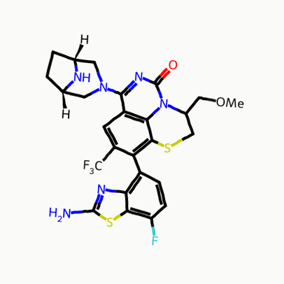 COCC1CSc2c(-c3ccc(F)c4sc(N)nc34)c(C(F)(F)F)cc3c(N4C[C@H]5CC[C@@H](C4)N5)nc(=O)n1c23